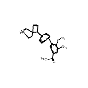 COc1c(C)cc(C(=O)O)cc1-c1ccc(C2CCC23CCNC3)cc1